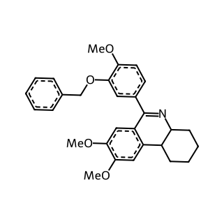 COc1cc2c(cc1OC)C1CCCCC1N=C2c1ccc(OC)c(OCc2ccccc2)c1